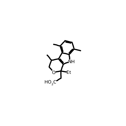 CCC1(CC(=O)O)OCC(C)c2c1[nH]c1c(C)ccc(C)c21